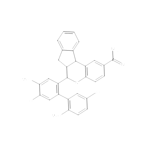 COc1cc(C2Nc3ccc(C(=N)N)cc3C3c4ccccc4CC23)c(-c2cc(C(C)C)ccc2OC)cc1O